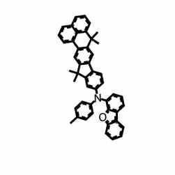 Cc1ccc(N(c2ccc3c(c2)C(C)(C)c2cc4c(cc2-3)C(C)(C)c2cccc3cccc-4c23)c2cccc3c2oc2ccccc23)cc1